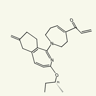 C=CC(=O)C1=CCCN(C2=NC(O[C@H](C)CC)=C=CC3=C2CCC(=C)C3)CC1